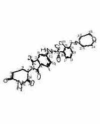 O=C1CCC(N2C(=O)c3ccc(NS(=O)(=O)c4cccc(CN5CCOCC5)c4Cl)cc3C2=O)C(=O)N1